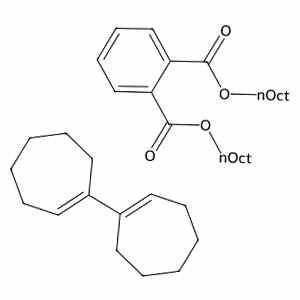 C1=C(C2=CCCCCC2)CCCCC1.CCCCCCCCOC(=O)c1ccccc1C(=O)OCCCCCCCC